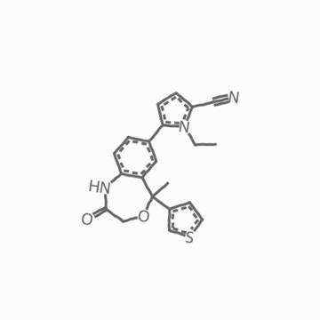 CCn1c(C#N)ccc1-c1ccc2c(c1)C(C)(c1ccsc1)OCC(=O)N2